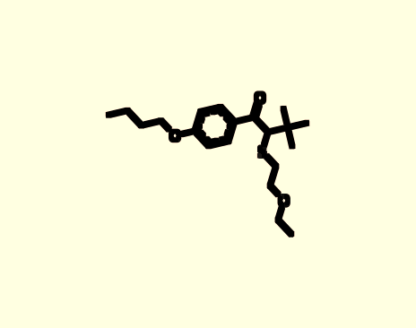 CCCCOc1ccc(C(=O)C(SCCOCC)C(C)(C)C)cc1